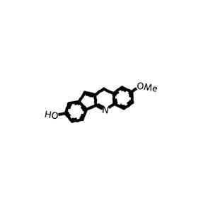 COc1ccc2c(c1)CC1=Cc3cc(O)ccc3C1=N2